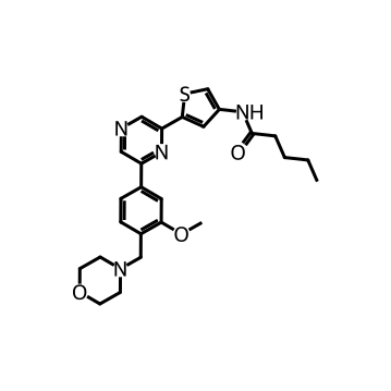 CCCCC(=O)Nc1csc(-c2cncc(-c3ccc(CN4CCOCC4)c(OC)c3)n2)c1